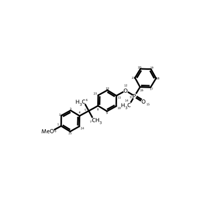 COc1ccc(C(C)(C)c2ccc(OP(C)(=O)c3ccccc3)cc2)cc1